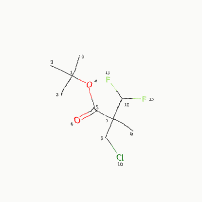 CC(C)(C)OC(=O)C(C)(CCl)C(F)F